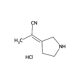 CC(C#N)=C1CCNC1.Cl